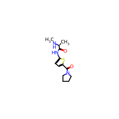 CN[C@@H](C)C(=O)Nc1ccc(C(=O)N2CCCC2)s1